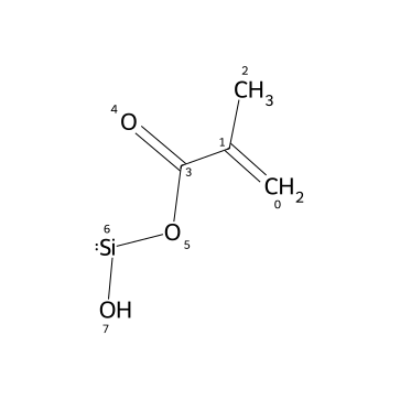 C=C(C)C(=O)O[Si]O